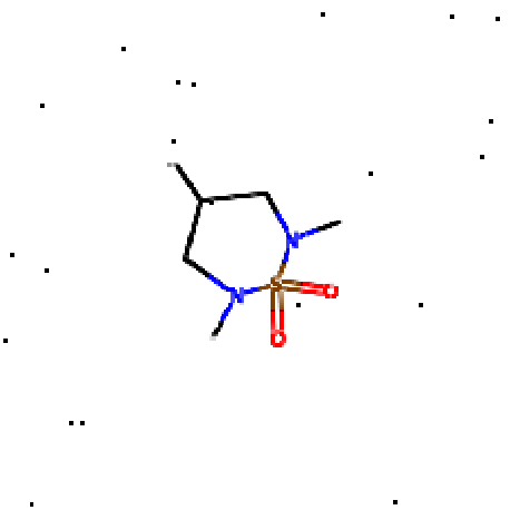 [CH2]C1CN(C)S(=O)(=O)N(C)C1